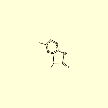 Cc1cnc2c(c1)C(C)C(=O)N2